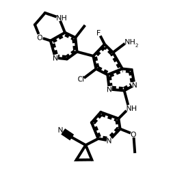 COc1nc(C2(C#N)CC2)ccc1Nc1ncc2c(N)c(F)c(-c3cnc4c(c3C)NCCO4)c(Cl)c2n1